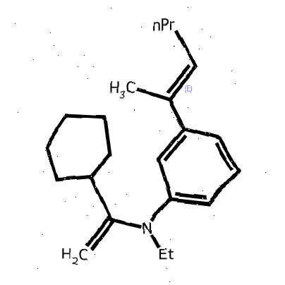 C=C(C1CCCCC1)N(CC)c1cccc(/C(C)=C/CCC)c1